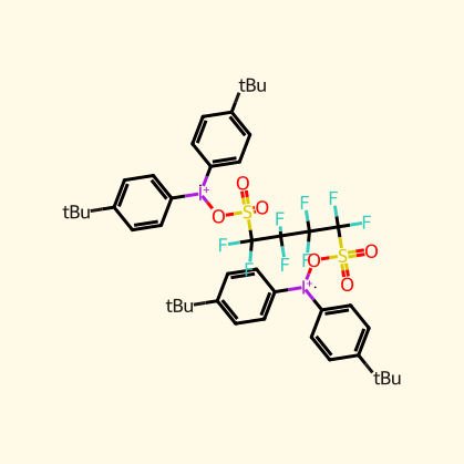 CC(C)(C)c1ccc([I+](OS(=O)(=O)C(F)(F)C(F)(F)C(F)(F)C(F)(F)S(=O)(=O)O[I+](c2ccc(C(C)(C)C)cc2)c2ccc(C(C)(C)C)cc2)c2ccc(C(C)(C)C)cc2)cc1